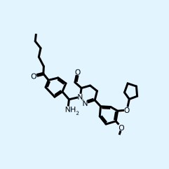 CCCCCC(=O)c1ccc(C(N)N2N=C(c3ccc(OC)c(OC4CCCC4)c3)CCC2C=O)cc1